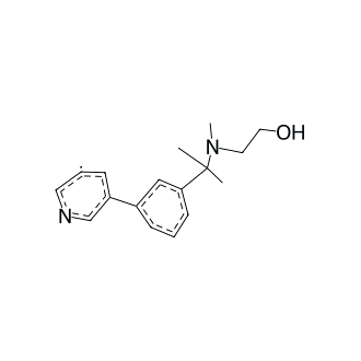 CN(CCO)C(C)(C)c1cccc(-c2c[c]cnc2)c1